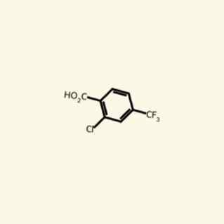 O=C(O)c1ccc(C(F)(F)F)cc1Cl